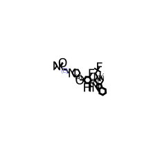 C[C@@H]1Cc2c([nH]c3ccccc23)[C@@H](c2c(F)cc(O[C@H]3CCCN(C/C=C/C(=O)N(C)C)C3)cc2F)N1CC(C)(C)F